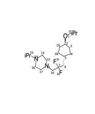 CC(C)O[C@H]1CC[C@H](CC(F)(F)CN2CCN(C(C)C)CC2)CC1